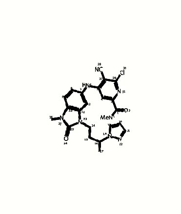 CNC(=O)c1cc(Nc2ccc3c(c2)n(CCC(C)n2cccn2)c(=O)n3C)c(C#N)c(Cl)n1